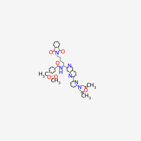 Cc1ccc(C(=O)NC(CCCCN2C(=O)c3ccccc3C2=O)c2cc3nc(-c4cccc(N5C[C@@H](C)O[C@@H](C)C5)n4)ccc3cn2)cc1S(C)(=O)=O